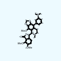 COc1ccc2c(c1OC)C(=O)O[C@@H]2[C@H]1c2c(c(-c3cccc(N(C)C)c3)c3c(c2OC)OCO3)CCN1C